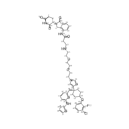 O=C1CCC(N2Cc3c(NC(=O)CCNCCOCCOCCn4cnc([C@]5(Cc6cccc(Nc7nccs7)n6)CC[C@@H](Oc6cccc(Cl)c6F)CC5)c4)cccc3C2=O)C(=O)N1